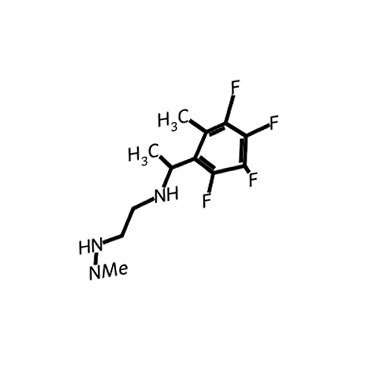 CNNCCNC(C)c1c(C)c(F)c(F)c(F)c1F